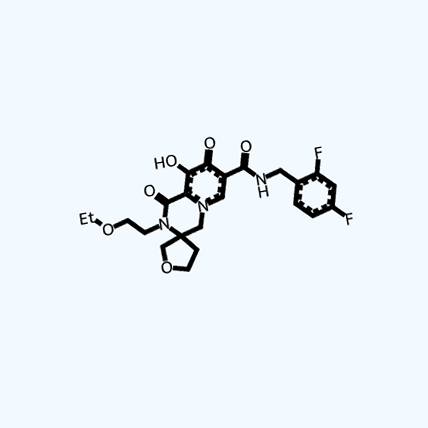 CCOCCN1C(=O)c2c(O)c(=O)c(C(=O)NCc3ccc(F)cc3F)cn2CC12CCOC2